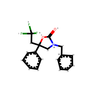 O=C1OC(CC(F)(F)F)(c2ccccc2)CN1Cc1ccccc1